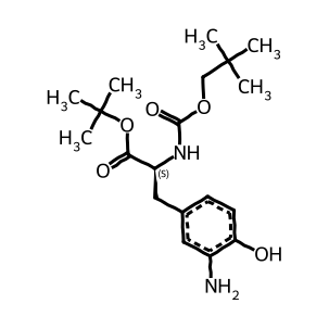 CC(C)(C)COC(=O)N[C@@H](Cc1ccc(O)c(N)c1)C(=O)OC(C)(C)C